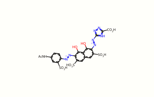 CC(=O)Nc1ccc(/N=N/c2c(S(=O)(=O)O)cc3cc(S(=O)(=O)O)c(/N=N/c4nnc(C(=O)O)[nH]4)c(O)c3c2O)c(S(=O)(=O)O)c1